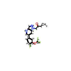 CCC(=O)Cn1ncc2ncc(-c3ccc(F)c(OC(F)F)c3)cc21